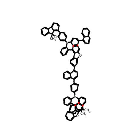 CC1(C)c2ccccc2-c2cccc(-c3ccc(N(c4ccc(-c5cccc6ccccc56)cc4)c4ccccc4-c4cccc5oc6cc(-c7ccc(-c8ccc(N(c9ccccc9-c9cccc%10oc%11ccccc%11c9%10)c9cccc%10c9C9C=CCCC9C%10(C)C)cc8)c8ccccc78)ccc6c45)cc3)c21